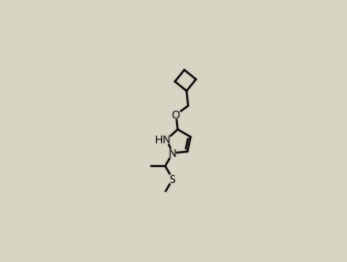 CSC(C)N1C=CC(OCC2CCC2)N1